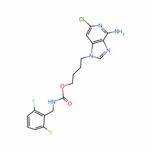 Nc1nc(Cl)cc2c1ncn2CCCCOC(=O)NCc1c(F)cccc1F